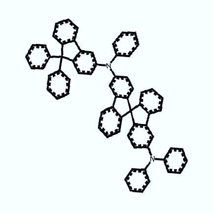 c1ccc(N(c2ccccc2)c2ccc3c(c2)-c2ccccc2C32c3ccccc3-c3cc(N(c4ccccc4)c4ccc5c(c4)-c4ccccc4C5(c4ccccc4)c4ccccc4)ccc32)cc1